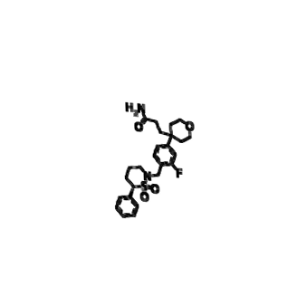 NC(=O)CCC1(c2ccc(CN3CCC[C@H](c4ccccc4)S3(=O)=O)c(F)c2)CCOCC1